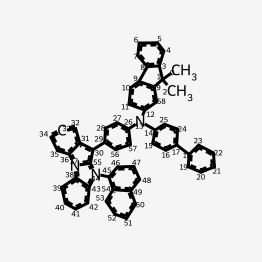 CC1(C)c2ccccc2-c2ccc(N(c3ccc(-c4ccccc4)cc3)c3ccc(-c4c5ccccc5n5c6ccccc6n(-c6cccc7ccccc67)c45)cc3)cc21